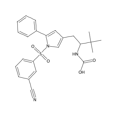 CC(C)(C)C(Cc1cc(-c2ccccc2)n(S(=O)(=O)c2cccc(C#N)c2)c1)NC(=O)O